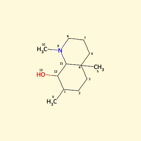 CC1CCC2(C)CCCN(C)C2C1O